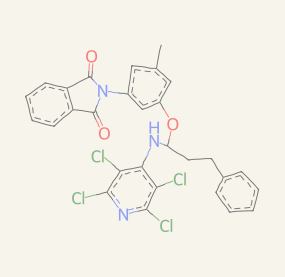 Cc1cc(OC(CCc2ccccc2)Nc2c(Cl)c(Cl)nc(Cl)c2Cl)cc(N2C(=O)c3ccccc3C2=O)c1